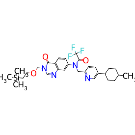 CC1CCC(c2ccc(CN(C(=O)C(F)(F)F)c3ccc4c(=O)n(COCC[Si](C)(C)C)cnc4c3)nc2)CC1